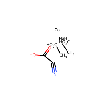 CC(=O)O.CC(=O)O.N#CC(=O)O.[Co].[NaH]